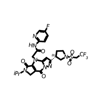 CC(C)N1Cc2c(n(CC(=O)Nc3ccc(F)cn3)c3cc([C@@H]4CCN(S(=O)(=O)CC(F)(F)F)C4)nn3c2=O)C1=O